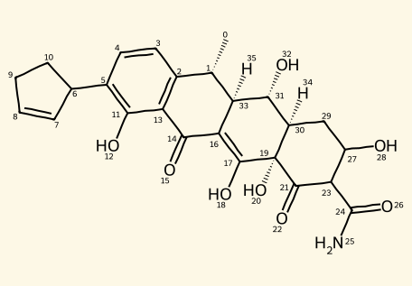 C[C@H]1c2ccc(C3C=CCC3)c(O)c2C(=O)C2=C(O)[C@]3(O)C(=O)C(C(N)=O)C(O)C[C@@H]3[C@@H](O)[C@@H]21